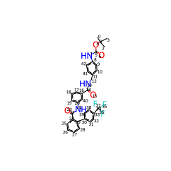 CC(C)(C)OC(=O)Nc1ccc(CNC(=O)c2cccc(NC(=O)c3ccccc3-c3ccc(C(F)(F)F)cc3)c2)cc1